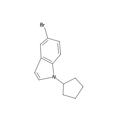 Brc1ccc2c(ccn2C2CCCC2)c1